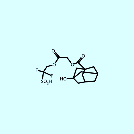 O=C(COC(=O)C12CC3CC(CC(O)(C3)C1)C2)OCC(F)(F)S(=O)(=O)O